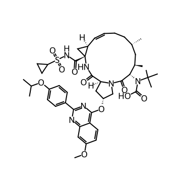 COc1ccc2c(O[C@@H]3C[C@H]4C(=O)N[C@]5(C(=O)NS(=O)(=O)C6CC6)C[C@H]5C=CCC[C@H](C)C[C@@H](C)[C@H](N(C(=O)O)C(C)(C)C)C(=O)N4C3)nc(-c3ccc(OC(C)C)cc3)nc2c1